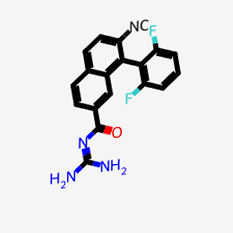 [C-]#[N+]c1ccc2ccc(C(=O)N=C(N)N)cc2c1-c1c(F)cccc1F